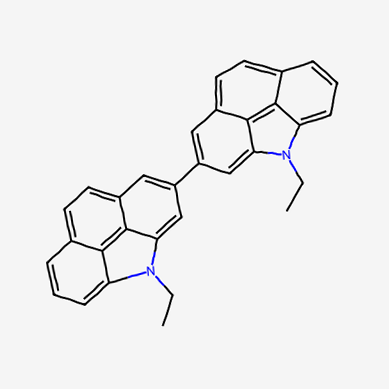 CCn1c2cccc3ccc4cc(-c5cc6ccc7cccc8c7c6c(c5)n8CC)cc1c4c32